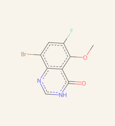 COc1c(F)cc(Br)c2nc[nH]c(=O)c12